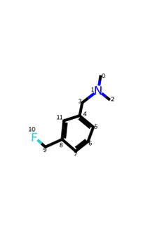 CN(C)Cc1cccc(CF)c1